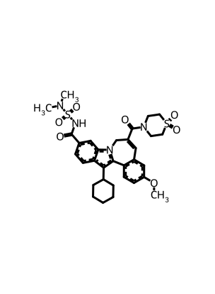 COc1ccc2c(c1)C=C(C(=O)N1CCS(=O)(=O)CC1)Cn1c-2c(C2CCCCC2)c2ccc(C(=O)NS(=O)(=O)N(C)C)cc21